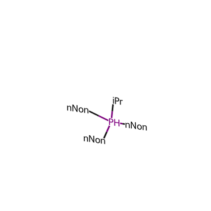 CCCCCCCCC[PH](CCCCCCCCC)(CCCCCCCCC)C(C)C